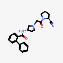 N#C[C@@H]1CCCN1C(=O)CN1CC[C@H](NC(=O)c2ccccc2-c2ccccc2)C1